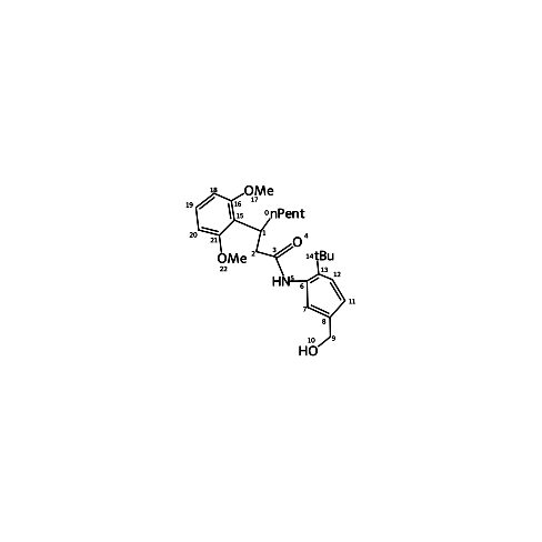 CCCCCC(CC(=O)Nc1cc(CO)ccc1C(C)(C)C)c1c(OC)cccc1OC